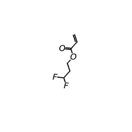 C=CC(=O)OCCC(F)F